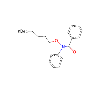 CCCCCCCCCCCCCCON(C(=O)c1cc[c]cc1)c1ccccc1